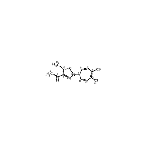 CNC1=NN(C2C=CC(Cl)=C(Cl)C=C2)C[C@@H]1C